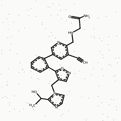 C#Cc1cc(-c2ccccc2-c2oncc2Cn2ccnc2C(C)O)cnc1CNCC(N)=O